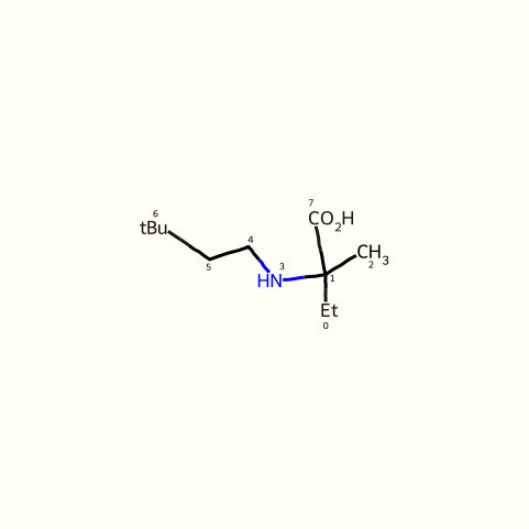 CCC(C)(NCCC(C)(C)C)C(=O)O